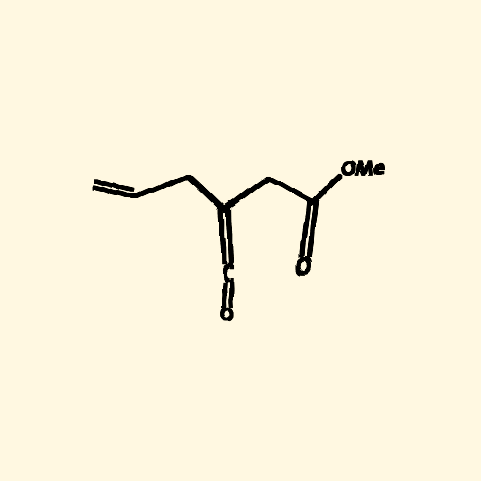 C=CCC(=C=O)CC(=O)OC